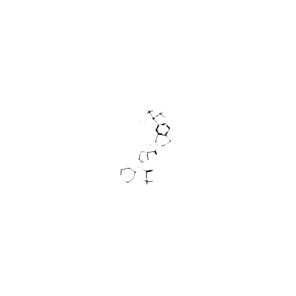 CC(C)[C@]1(C(=O)N2CCc3ccc(C(O)(C(F)(F)F)C(F)(F)F)cc3C2)CC[C@@H](N(C(=O)C(F)(F)F)C2CCOCC2)C1